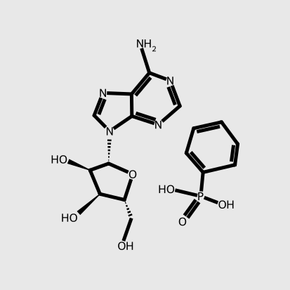 Nc1ncnc2c1ncn2[C@@H]1O[C@H](CO)[C@@H](O)[C@H]1O.O=P(O)(O)c1ccccc1